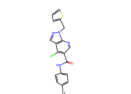 O=C(Nc1ccc(C(F)(F)F)cc1)c1cnc2c(cnn2Cc2cccs2)c1Cl